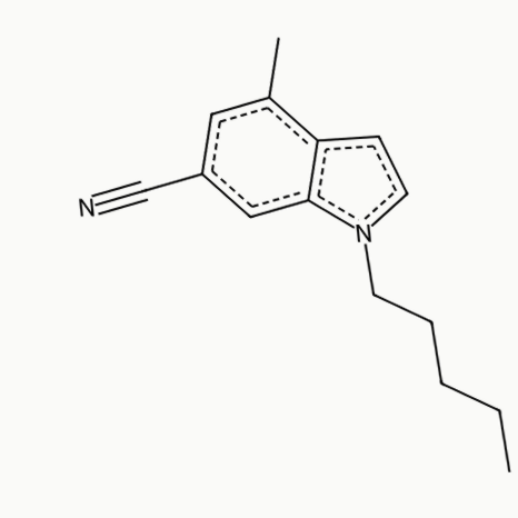 CCCCCn1ccc2c(C)cc(C#N)cc21